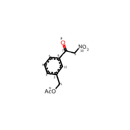 CC(=O)OCc1cccc(C(=O)C[N+](=O)[O-])c1